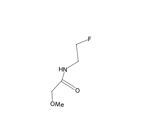 COCC(=O)NCCF